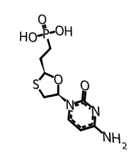 Nc1ccn([C@H]2CS[C@@H](CCP(=O)(O)O)O2)c(=O)n1